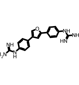 N=C(N)Nc1ccc(-c2coc(-c3ccc(NC(=N)N)cc3)c2)cc1